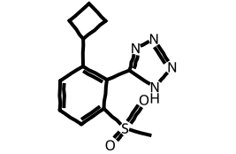 CS(=O)(=O)c1cccc(C2CCC2)c1-c1nnn[nH]1